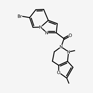 Cc1cc2c(o1)CCN(C(=O)c1cc3ccc(Br)cn3n1)N2C